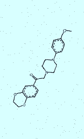 COc1ccc(N2CCN(CC(=O)c3ccc4c(c3)OCCO4)CC2)cc1